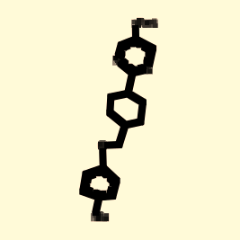 CCCCCc1cnc(C2CCC(COc3ccc(CCCC)cc3)CC2)nc1